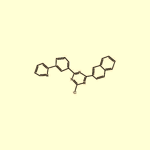 Clc1nc(-c2cccc(-c3ccccn3)c2)nc(-c2ccc3ccccc3c2)n1